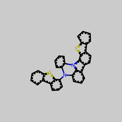 c1ccc2c(c1)N(c1cccc3c1sc1ccccc13)c1cccc3c4ccc5c6ccccc6sc5c4n-2c13